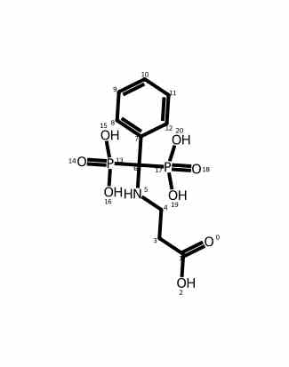 O=C(O)CCNC(c1ccccc1)(P(=O)(O)O)P(=O)(O)O